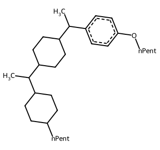 CCCCCOc1ccc(C(C)C2CCC(C(C)C3CCC(CCCCC)CC3)CC2)cc1